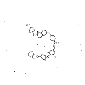 Cc1cc(/C=C/C(=O)N2CCN(Cc3ccc4nc(Oc5ccc(C(C)C)cc5)ccc4c3)CC2)cc(Cl)c1Oc1ccc(OCc2ccccc2Cl)cn1